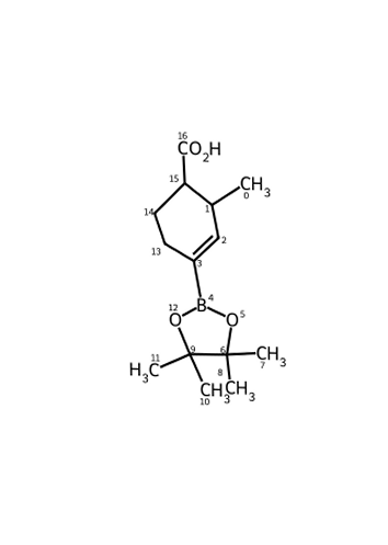 CC1C=C(B2OC(C)(C)C(C)(C)O2)CCC1C(=O)O